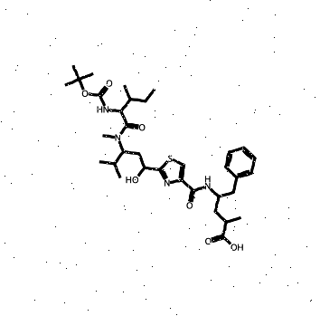 CCC(C)C(NC(=O)OC(C)(C)C)C(=O)N(C)C(CC(O)c1nc(C(=O)NC(Cc2ccccc2)CC(C)C(=O)O)cs1)C(C)C